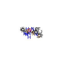 Nc1c(C(=O)Nc2nnc(-c3ccccc3)s2)sc2nc(-c3cccs3)cc(C(F)(F)F)c12